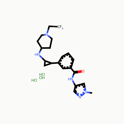 Cl.Cl.Cl.Cn1cc(NC(=O)c2cccc(C3CC3NC3CCN(CC(F)(F)F)CC3)c2)cn1